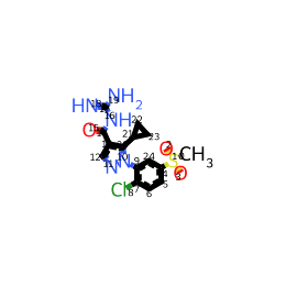 CS(=O)(=O)c1ccc(Cl)c(-n2ncc(C(=O)NC(=N)N)c2C2CC2)c1